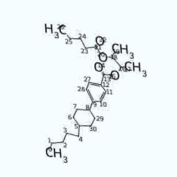 CCCCCC1CCC(c2ccc(C(=O)OC(C)C(C)OC(=O)CCCC)cc2)CC1